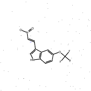 O=[N+]([O-])/C=C/c1c[nH]c2ccc(OC(F)(F)F)cc12